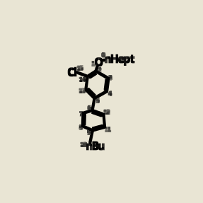 CCCCCCCOc1ccc(-c2ccc(CCCC)cc2)cc1Cl